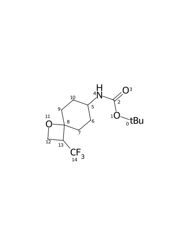 CC(C)(C)OC(=O)NC1CCC2(CC1)OCC2C(F)(F)F